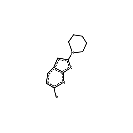 Brc1ccc2cc(N3CCCCC3)sc2n1